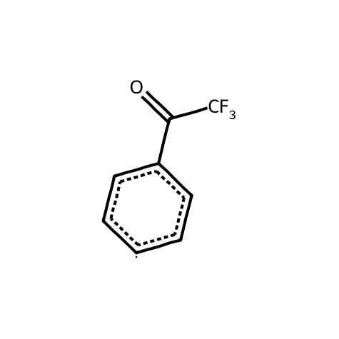 O=C(c1cc[c]cc1)C(F)(F)F